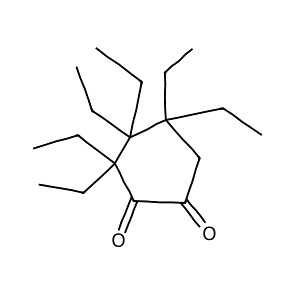 CCC1(CC)CC(=O)C(=O)C(CC)(CC)C1(CC)CC